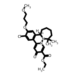 CCOC(=O)c1cn2c(cc1=O)-c1cc(Cl)c(OCCCOC)cc1[C@@H]1CCCCC(C)(C)N12